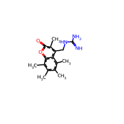 Cc1c(C)c(C)c2c(CNC(=N)N)c(C)c(=O)oc2c1C